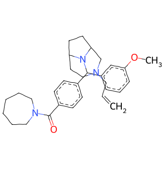 C=CCN1CCC2CCC(C1)N2C(c1ccc(C(=O)N2CCCCCC2)cc1)c1cccc(OC)c1